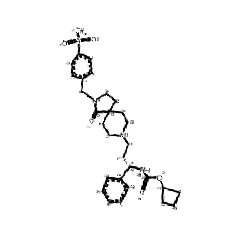 CS(=O)(=O)c1ccc(CN2CCC3(CCN(CC[C@H](NC(=O)OC4CCC4)c4ccccc4)CC3)C2=O)cc1